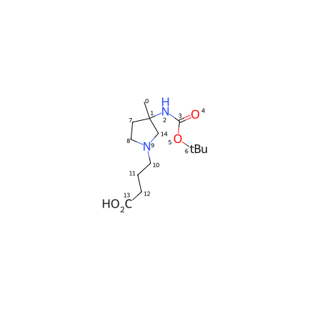 CC1(NC(=O)OC(C)(C)C)CCN(CCCC(=O)O)C1